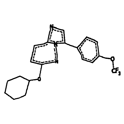 FC(F)(F)Oc1ccc(-c2cnc3ccc(OC4CCCCC4)nn23)cc1